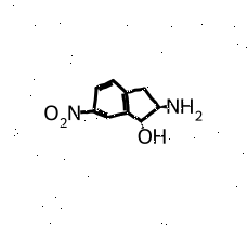 N[C@@H]1Cc2ccc([N+](=O)[O-])cc2[C@H]1O